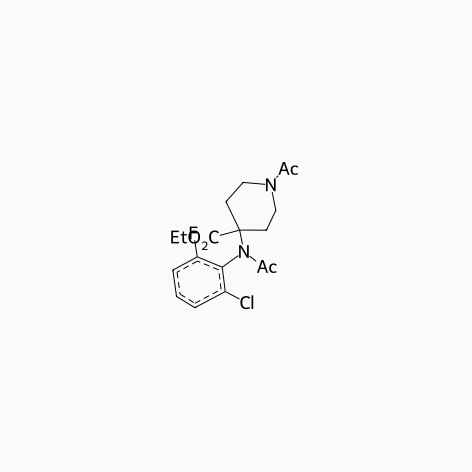 CCOC(=O)C1(N(C(C)=O)c2c(F)cccc2Cl)CCN(C(C)=O)CC1